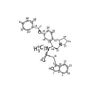 CN(C(=O)Cc1occ2ccccc12)[C@H](CN1CCCC1)c1cccc(OCc2ccccc2)c1